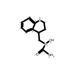 NC(=O)N(O)CC1CCSc2ccccc21